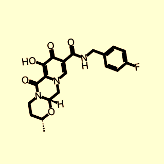 C[C@@H]1CCN2C(=O)c3c(O)c(=O)c(C(=O)NCc4ccc(F)cc4)cn3C[C@@H]2O1